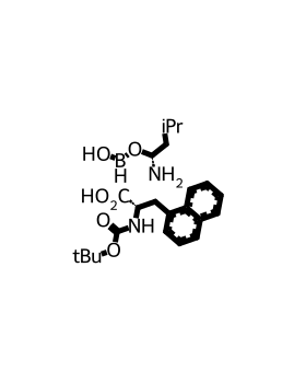 CC(C)(C)OC(=O)N[C@@H](Cc1cccc2ccccc12)C(=O)O.CC(C)C[C@H](N)OBO